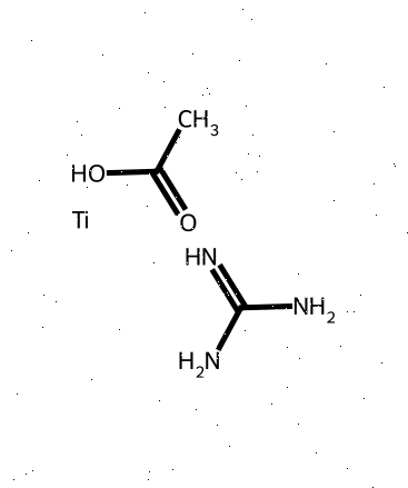 CC(=O)O.N=C(N)N.[Ti]